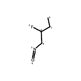 CCC(F)CN=O